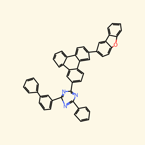 c1ccc(-c2cccc(-c3nc(-c4ccccc4)nc(-c4ccc5c6cc(-c7ccc8oc9ccccc9c8c7)ccc6c6ccccc6c5c4)n3)c2)cc1